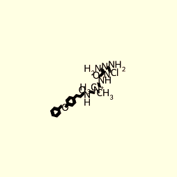 C[N+](C)(CCNC(=O)CCc1ccc(OCc2ccccc2)cc1)CCNC(=O)c1nc(Cl)c(N)nc1N